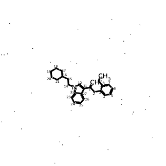 C=C(Cc1ccccc1CC)c1cn(CCC2CCCCC2)c2ccccc12